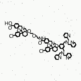 O=C(O)c1ccc(CN(CCOCCOCCNC(=O)c2ccc(CN(COc3cc(CN(Cc4ccccn4)Cc4ccccn4)cc(CN(Cc4ccccn4)Cc4ccccn4)c3)C(=O)C3(c4ccc(Cl)cc4)CCCCC3)cc2)C(=O)C2(c3ccc(Cl)cc3)CCCCC2)cc1